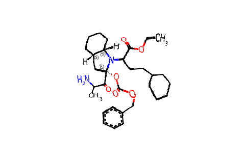 CCOC(=O)C(CCC1CCCCC1)N1[C@H]2CCCC[C@H]2C[C@]1(OC(=O)OCc1ccccc1)C(=O)C(C)N